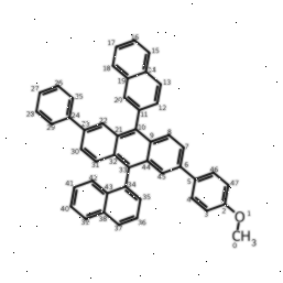 COc1ccc(-c2ccc3c(-c4ccc5ccccc5c4)c4cc(-c5ccccc5)ccc4c(-c4cccc5ccccc45)c3c2)cc1